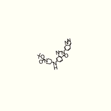 Cn1cc2ccc(-n3cnc4cc(NC5CCN(C(=O)OC(C)(C)C)CC5)ccc4c3=O)cc2n1